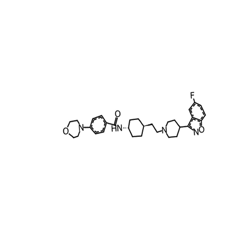 O=C(N[C@H]1CC[C@H](CCN2CCC(c3noc4ccc(F)cc34)CC2)CC1)c1ccc(N2CCOCC2)cc1